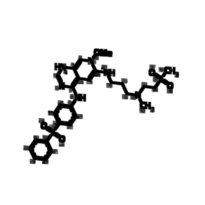 CON1C=C2NC=NC(Nc3ccc(S(=O)(=O)c4ccccc4)cc3)=C2C=C1NCCCN(C)CCS(C)(=O)=O